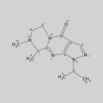 CC1c2nc3c(cnn3C(C)C)c(=O)n2CCN1C